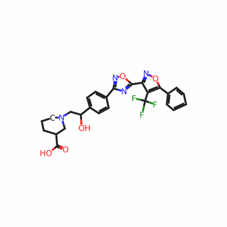 O=C(O)C1CCCN(CC(O)c2ccc(-c3noc(-c4noc(-c5ccccc5)c4C(F)(F)F)n3)cc2)C1